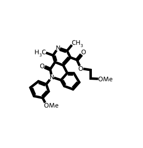 COCCOC(=O)c1c(C)nc(C)c2c(=O)n(-c3cccc(OC)c3)c3ccccc3c12